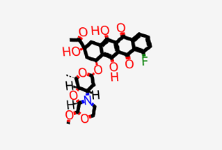 COC1OCCN2[C@@H]1O[C@@H]1[C@H](C)O[C@@H](O[C@H]3C[C@](O)(C(C)=O)Cc4c(O)c5c(c(O)c43)C(=O)c3c(F)cccc3C5=O)C[C@@H]12